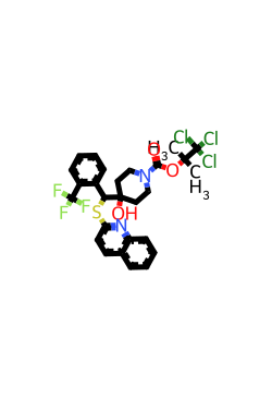 CC(C)(OC(=O)N1CCC(O)(C(Sc2ccc3ccccc3n2)c2ccccc2C(F)(F)F)CC1)C(Cl)(Cl)Cl